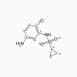 Nc1ccc(Cl)c(NS(=O)(=O)C2CC2)c1